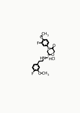 COc1ccc(N2C[C@@H](CNCCc3ccc(F)c(OC)c3)OCC2=O)cc1F.Cl